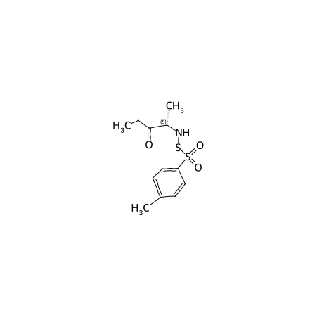 CCC(=O)[C@H](C)NSS(=O)(=O)c1ccc(C)cc1